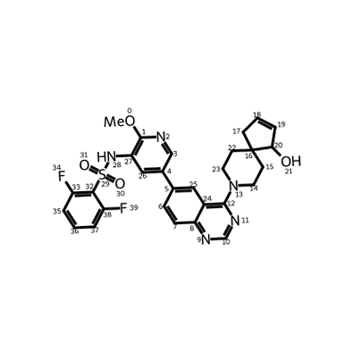 COc1ncc(-c2ccc3ncnc(N4CCC5(CC=CC5O)CC4)c3c2)cc1NS(=O)(=O)c1c(F)cccc1F